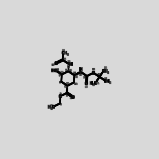 CCOC(=O)[C@H]1C[C@@H](O)[C@H](NC(C)=O)[C@@H](NC(=O)OC(C)(C)C)C1